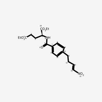 CCOC(=O)CC[C@H](NC(=O)c1ccc(CCC=C[N+](=O)[O-])cc1)C(=O)OCC